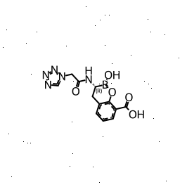 O=C(Cn1cnnn1)N[C@H]1Cc2cccc(C(=O)O)c2OB1O